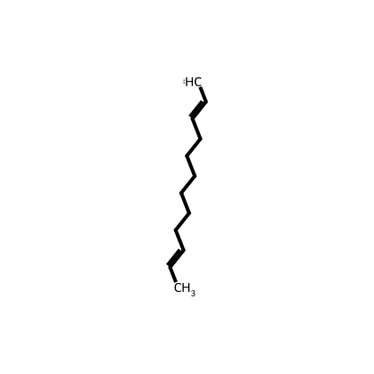 [CH]C=CCCCCCCC=CC